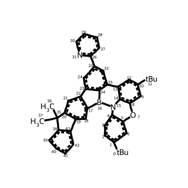 CC(C)(C)c1ccc2c(c1)Oc1cc(C(C)(C)C)cc3c1N2B1c2cc4c(cc2-c2cc(-c5ccccn5)cc-3c21)C(C)(C)c1ccccc1-4